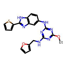 CCOc1nc(NCc2ccco2)nc(Nc2ccc3[nH]c(-c4cccs4)nc3c2)n1